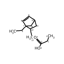 CCC(=O)O.CCC12C=CC(CC1C)C2